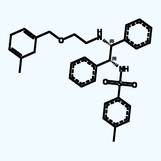 CC1=CCC=C(COCCN[C@H](c2ccccc2)[C@H](NS(=O)(=O)c2ccc(C)cc2)c2ccccc2)C1